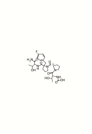 CC(O)C(NC(=O)C1(Cc2ccc(F)cc2)CCCN1C(=O)[C@@H]1CCCN1C(=O)C(NC(=O)O)C(C)O)C(N)=O